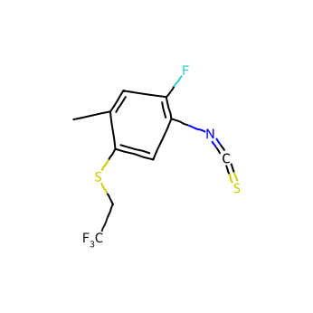 Cc1cc(F)c(N=C=S)cc1SCC(F)(F)F